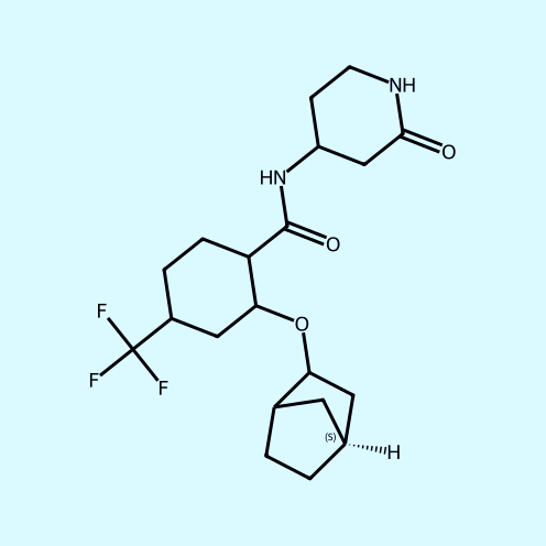 O=C1CC(NC(=O)C2CCC(C(F)(F)F)CC2OC2C[C@H]3CCC2C3)CCN1